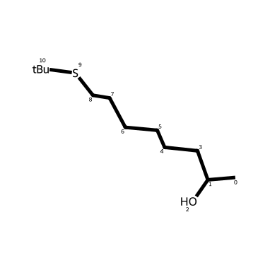 CC(O)CCCCCCSC(C)(C)C